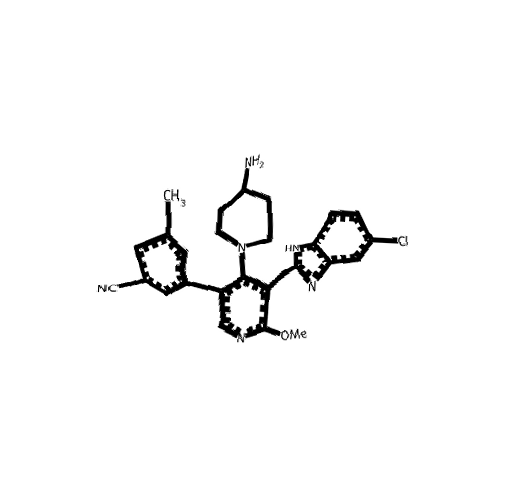 COc1ncc(-c2cc(C)cc(C#N)c2)c(N2CCC(N)CC2)c1-c1nc2cc(Cl)ccc2[nH]1